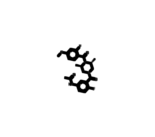 COc1ccc(C(=O)N2[C@H](C)CN(C(=O)c3cc(NC(C)=O)ccc3F)C[C@H]2C)c(F)c1